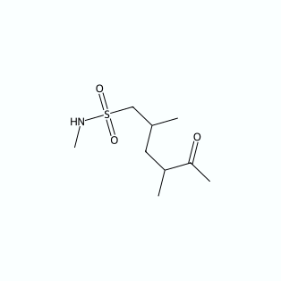 CNS(=O)(=O)CC(C)CC(C)C(C)=O